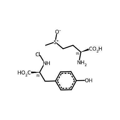 C[S+]([O-])CC[C@H](N)C(=O)O.O=C(O)[C@H](Cc1ccc(O)cc1)NCl